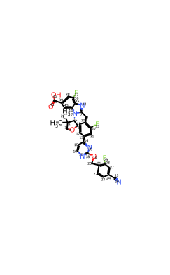 CC1(C)COC[C@H]1n1c(Cc2ccc(-c3ccnc(OCc4ccc(C#N)cc4F)n3)cc2F)nc2c(F)cc(C(=O)O)cc21